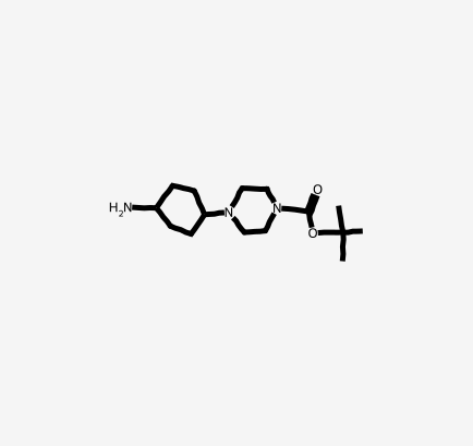 CC(C)(C)OC(=O)N1CCN(C2CCC(N)CC2)CC1